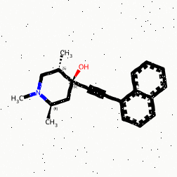 C[C@@H]1C[C@@](O)(C#Cc2cccc3ccccc23)[C@@H](C)CN1C